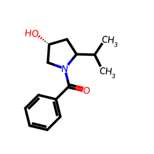 CC(C)C1C[C@@H](O)CN1C(=O)c1ccccc1